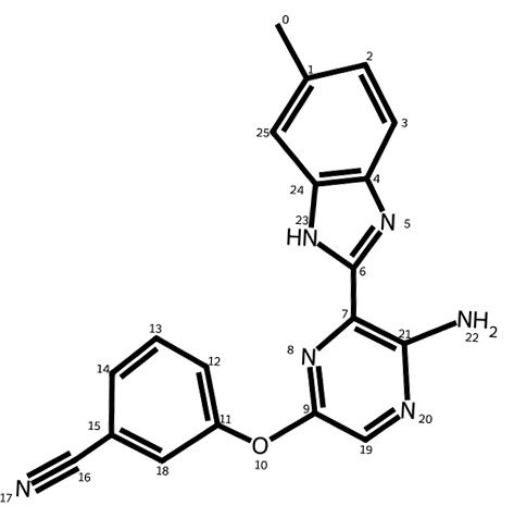 Cc1ccc2nc(-c3nc(Oc4cccc(C#N)c4)cnc3N)[nH]c2c1